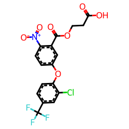 O=C(O)CCOC(=O)c1cc(Oc2ccc(C(F)(F)F)cc2Cl)ccc1[N+](=O)[O-]